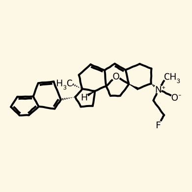 C[C@]12CC=C3C=C4CC[C@H]([N+](C)([O-])CCF)C[C@]45CCC3(O5)[C@@H]1CC[C@@H]2c1ccc2ccccc2c1